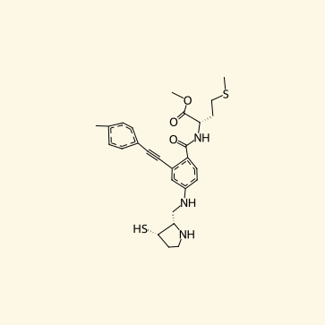 COC(=O)[C@H](CCSC)NC(=O)c1ccc(NC[C@@H]2NCC[C@@H]2S)cc1C#Cc1ccc(C)cc1